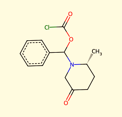 C[C@@H]1CCC(=O)CN1C(OC(=O)Cl)c1ccccc1